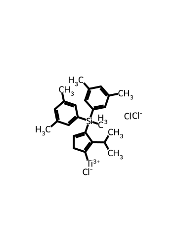 Cc1cc(C)cc([Si](C)(C2=CC[C]([Ti+3])=C2C(C)C)c2cc(C)cc(C)c2)c1.[Cl-].[Cl-].[Cl-]